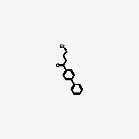 CCSCCC(=O)c1ccc(-c2ccccc2)cc1